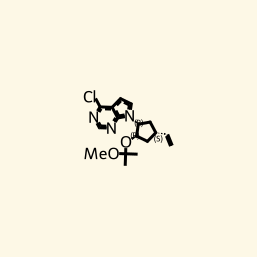 C=C[C@H]1C[C@@H](n2ccc3c(Cl)ncnc32)[C@H](OC(C)(C)OC)C1